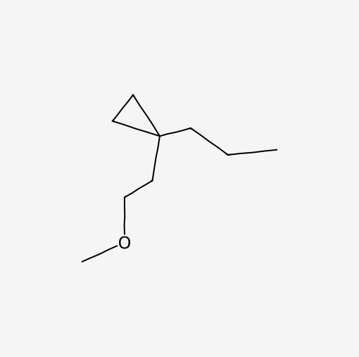 CCCC1(CCOC)CC1